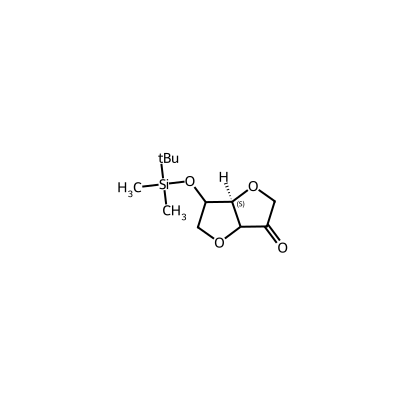 CC(C)(C)[Si](C)(C)OC1COC2C(=O)CO[C@H]12